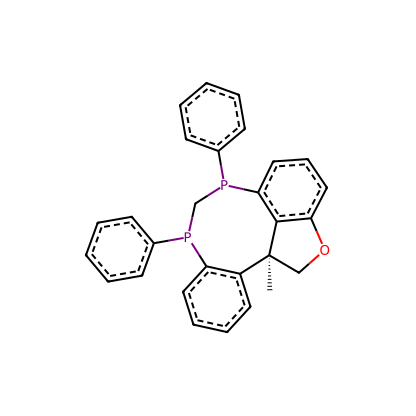 C[C@@]12COc3cccc(c31)P(c1ccccc1)CP(c1ccccc1)c1ccccc12